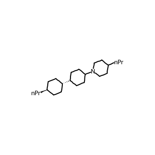 CCCC1CCN(C2CCC([C@H]3CC[C@H](CCC)CC3)CC2)CC1